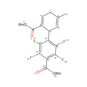 COC(=O)C1=CCC(C)=CC1c1c(F)c(F)c(C(=O)OC)c(F)c1F